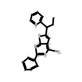 CCC(c1ccccn1)c1cc2c(N)nc(-c3ccccc3)nc2s1